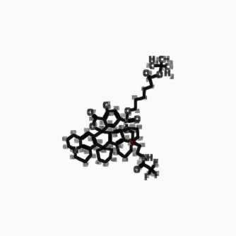 CC(C)(C)OC(=O)CCCCCOP(=O)(OCCCCNC(=O)C(F)(F)F)c1cc(Cl)c2c(c1)C1(OC2=O)c2cc3c4c(c2C2(CCCCC2)c2c1cc1c5c2CCCN5CCC1)CCCN4CCC3